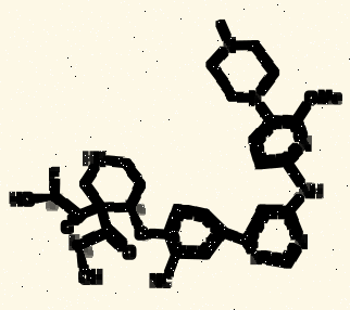 COc1nc(Nc2cc(-c3ccc(O[C@@H]4CCNCC4(C(=O)[C@@H](O)F)C(=O)[C@@H](O)F)c(C#N)c3)ncn2)ccc1N1CCN(C)CC1